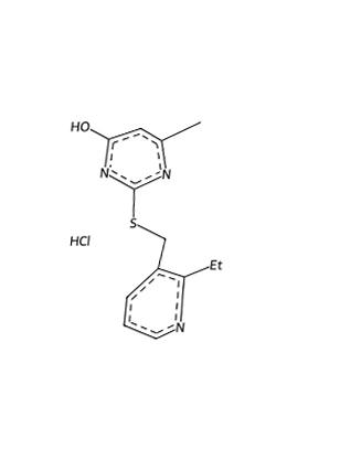 CCc1ncccc1CSc1nc(C)cc(O)n1.Cl